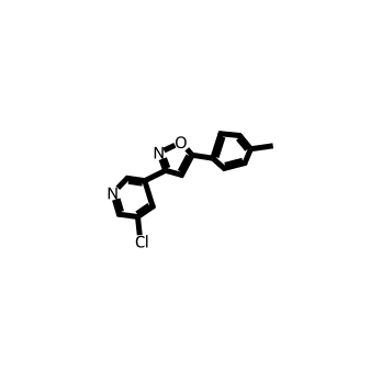 Cc1ccc(-c2cc(-c3cncc(Cl)c3)no2)cc1